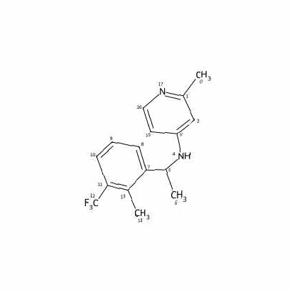 Cc1cc(NC(C)c2cccc(C(F)(F)F)c2C)ccn1